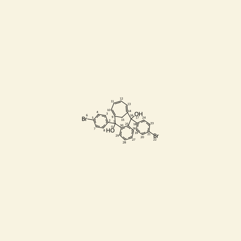 OC1(c2ccc(Br)cc2)C2=CC=CC=C(C2)C(O)(c2ccc(Br)cc2)c2ccccc21